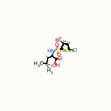 CC(C)CC(NS(=O)(=O)c1sc(Cl)cc1Br)C(=O)O